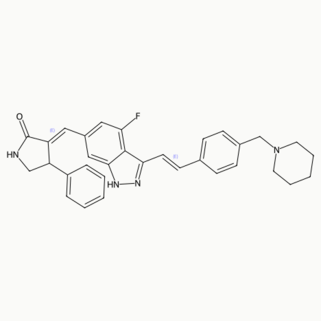 O=C1NCC(c2ccccc2)/C1=C\c1cc(F)c2c(/C=C/c3ccc(CN4CCCCC4)cc3)n[nH]c2c1